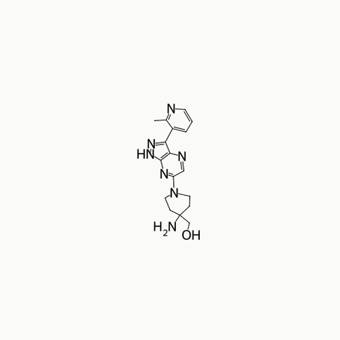 Cc1ncccc1-c1n[nH]c2nc(N3CCC(N)(CO)CC3)cnc12